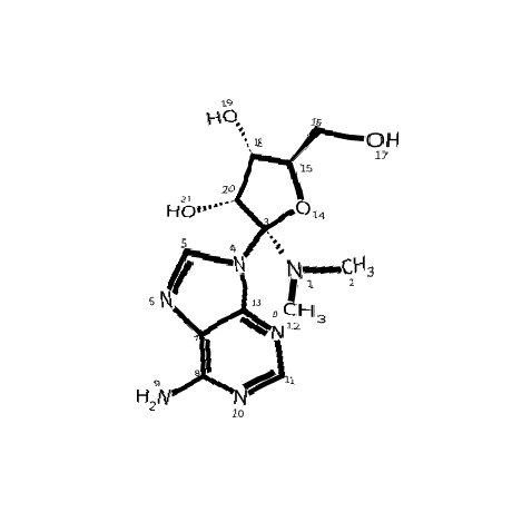 CN(C)[C@@]1(n2cnc3c(N)ncnc32)O[C@H](CO)[C@@H](O)[C@H]1O